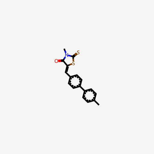 Cc1ccc(-c2ccc(/C=C3\SC(=S)N(C)C3=O)cc2)cc1